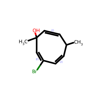 CC1/C=C\C(Br)=C/C(C)(O)/C=C\1